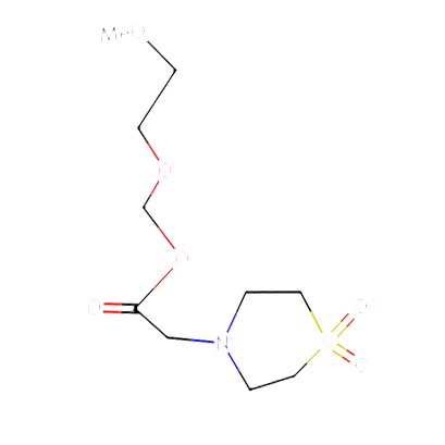 COCCOCOC(=O)CN1CCS(=O)(=O)CC1